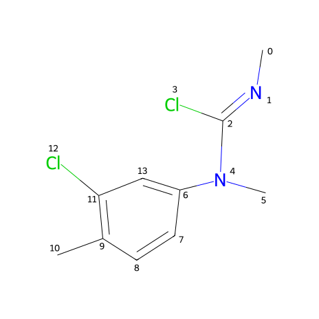 CN=C(Cl)N(C)c1ccc(C)c(Cl)c1